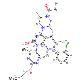 C=CC(=O)N1CC(C)N(c2nc(=O)n(-c3c(C(C)C)nc(OCCOC)nc3C(C)C)c3nc(-c4ccccc4F)c(Cl)cc23)CC1C